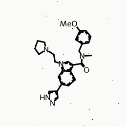 COc1cccc(CN(C)C(=O)c2cn(CCN3CCCC3)c3cc(-c4cn[nH]c4)ccc23)c1